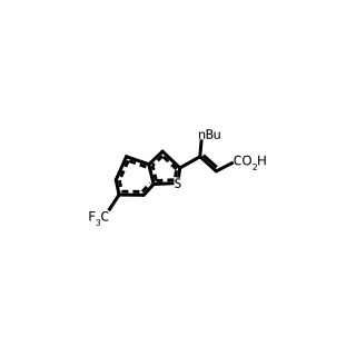 CCCC/C(=C\C(=O)O)c1cc2ccc(C(F)(F)F)cc2s1